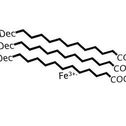 CCCCCCCCCCCCCCCCCCCCCC(=O)[O-].CCCCCCCCCCCCCCCCCCCCCC(=O)[O-].CCCCCCCCCCCCCCCCCCCCCC(=O)[O-].[Fe+3]